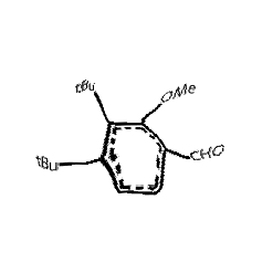 COc1c(C=O)ccc(C(C)(C)C)c1C(C)(C)C